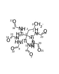 [CH2]CC[C]([Ti]([NH]C=O)[NH]C=O)([Ti]([NH]C=O)[NH]C=O)[Ti]([NH]C=O)[NH]C=O